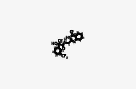 O=C(NCc1nc2ccccc2c(=O)[nH]1)[C@@](O)(c1cccc(C(F)(F)F)c1)C(F)(F)F